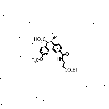 CCC[C@@H](c1ccc(C(=O)NCCC(=O)OCC)cc1)C(C(=O)O)c1ccc(OC(F)(F)F)cc1